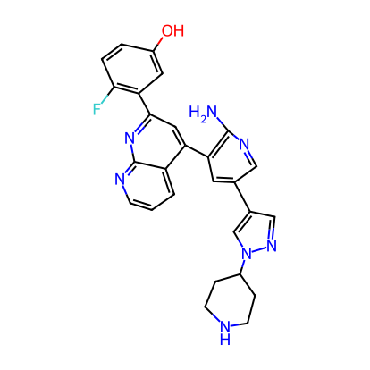 Nc1ncc(-c2cnn(C3CCNCC3)c2)cc1-c1cc(-c2cc(O)ccc2F)nc2ncccc12